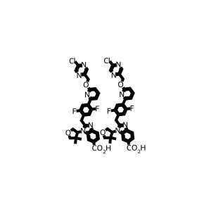 CC1(C)COCC1n1c(Cc2cc(F)c(-c3cccc(OCc4cnc(Cl)cn4)n3)cc2F)nc2ccc(C(=O)O)cc21.CC1(C)COCC1n1c(Cc2cc(F)c(-c3cccc(OCc4cnc(Cl)cn4)n3)cc2F)nc2ccc(C(=O)O)cc21